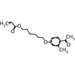 C=CC(=O)OCCCCCCOc1ccc(C(C)=O)c(C)c1